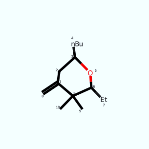 C=C1CC(CCCC)OC(CC)C1(C)C